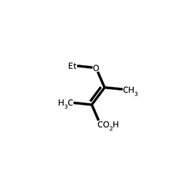 CCOC(C)=C(C)C(=O)O